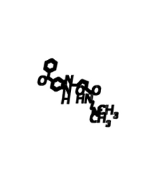 CN(C)CCNC(=O)c1ccc(-c2nc3cc(C(=O)c4ccccc4)ccc3[nH]2)o1